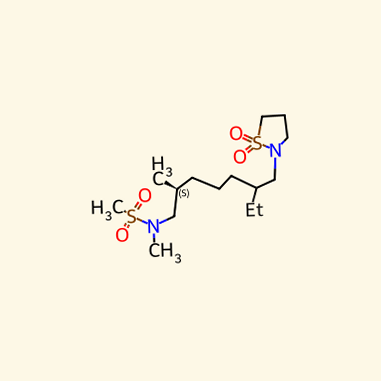 CCC(CCC[C@H](C)CN(C)S(C)(=O)=O)CN1CCCS1(=O)=O